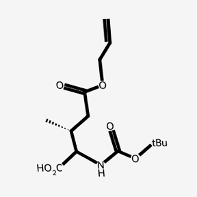 C=CCOC(=O)C[C@@H](C)C(NC(=O)OC(C)(C)C)C(=O)O